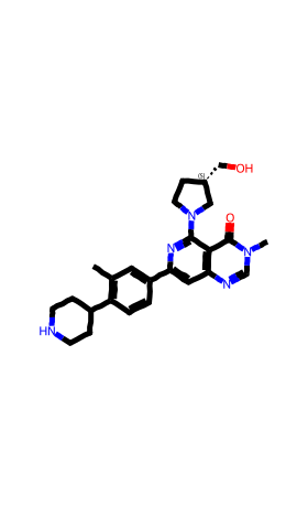 Cc1cc(-c2cc3ncn(C)c(=O)c3c(N3CC[C@H](CO)C3)n2)ccc1C1CCNCC1